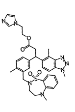 Cc1ccc(C(CC(=O)OCCn2ccnc2)c2ccc3c(nnn3C)c2C)cc1CN1CCN(C)c2ccccc2S1(=O)=O